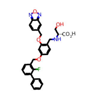 O=C(O)[C@@H](CO)NCc1ccc(OCc2cccc(-c3ccccc3)c2F)cc1OCc1ccc2nonc2c1